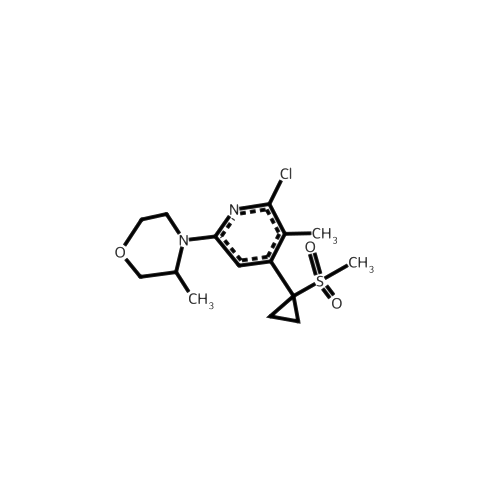 Cc1c(C2(S(C)(=O)=O)CC2)cc(N2CCOCC2C)nc1Cl